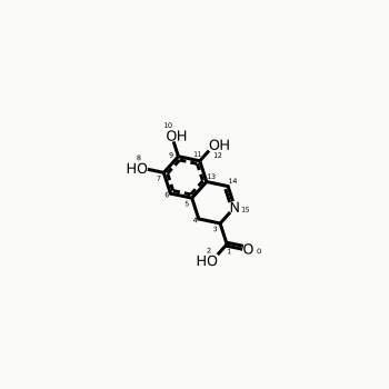 O=C(O)C1Cc2cc(O)c(O)c(O)c2C=N1